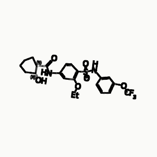 CCOc1cc(NC(=O)[C@H]2CCCC[C@H]2O)ccc1S(=O)(=O)Nc1cccc(OC(F)(F)F)c1